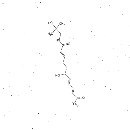 CC(=O)/C=C/C=C/C(O)CC/C=C/C(=O)NCC(C)(C)O